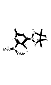 CON(OC)c1nc(C)cc(B2OC(C)(C)C(C)(C)O2)c1F